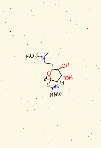 CNC1=N[C@@H]2[C@@H](O)[C@H](O)[C@@H](CCN(C)C(=O)O)O[C@@H]2S1